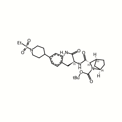 CCS(=O)(=O)N1CCC(c2ccc(C[C@H](NC(=O)[C@@H]3[C@H]4CC[C@H](C4)N3C(=O)OC(C)(C)C)C(N)=O)cc2)CC1